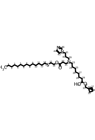 CCCCCCCCCCCCCCSCCOC(=O)CCN(CCCCCCCC(O)OCC12CC(C1)C2)CCCn1ccnc1